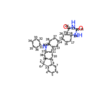 CC1(C)c2ccccc2-c2cc3c4cc(-c5ccc6[nH]c(=O)[nH]c(=O)c6c5)ccc4n(-c4ccccc4)c3cc21